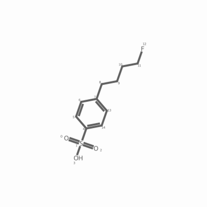 O=S(=O)(O)c1ccc(CCCCF)cc1